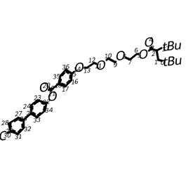 CC(C)(C)CC(C(=O)OCCOCCOCCOc1ccc(C(=O)Oc2ccc(-c3ccc(C#N)cc3)cc2)cc1)C(C)(C)C